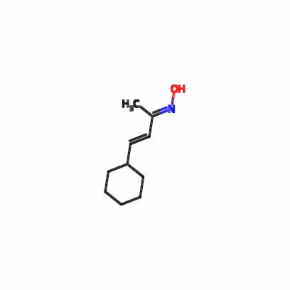 CC(/C=C/C1CCCCC1)=N\O